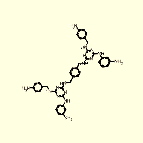 Nc1ccc(CNc2nc(NCc3ccc(CNc4nc(NCc5ccc(N)cc5)nc(Nc5cccc(N)c5)n4)cc3)nc(Nc3cccc(N)c3)n2)cc1